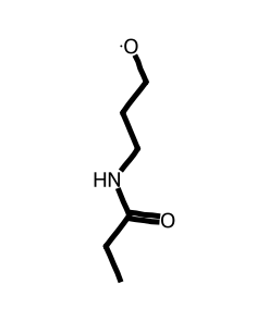 CCC(=O)NCCC[O]